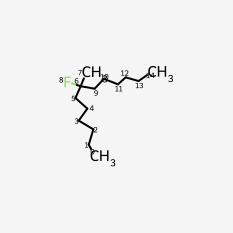 CCCCCCC(C)(F)CCCCCC